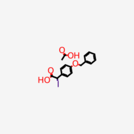 CC(=O)O.O=C(O)C(I)c1ccc(OCc2ccccc2)cc1